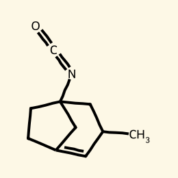 CC1C=C2CCC(N=C=O)(C2)C1